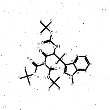 Cn1cc(C(C)(C)C(NC(=O)OC(C)(C)C)C(=O)N(C(=O)OC(C)(C)C)C(=O)OC(C)(C)C)c2ccccc21